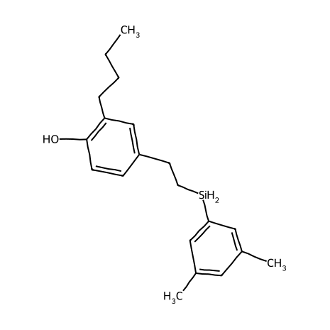 CCCCc1cc(CC[SiH2]c2cc(C)cc(C)c2)ccc1O